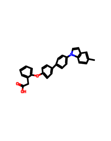 Cc1ccc2c(ccn2-c2ccc(-c3ccc(Oc4ccccc4CC(=O)O)cc3)cc2)c1